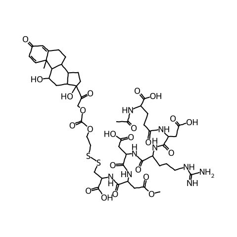 COC(=O)CC(NC(=O)C(CC(=O)O)NC(=O)C(CCCNC(=N)N)NC(=O)C(CC(=O)O)NC(=O)CCC(NC(C)=O)C(=O)O)C(=O)NC(CSSCCOC(=O)OCC(=O)C1(O)CCC2C3CCC4=CC(=O)C=CC4(C)C3C(O)CC21)C(=O)O